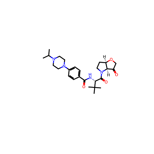 CC(C)N1CCN(c2ccc(C(=O)N[C@H](C(=O)N3CC[C@H]4OCC(=O)[C@H]43)C(C)(C)C)cc2)CC1